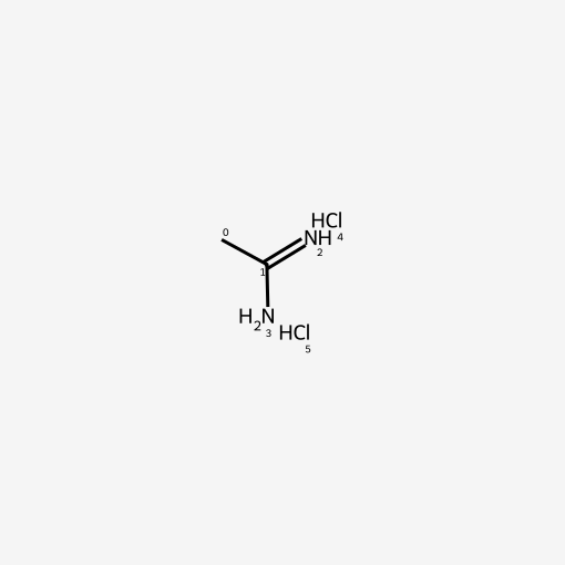 CC(=N)N.Cl.Cl